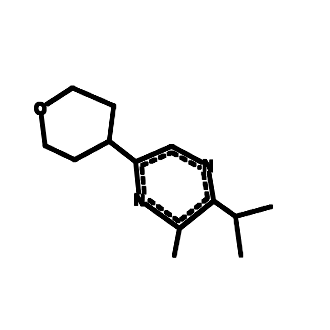 Cc1nc(C2CCOCC2)cnc1C(C)C